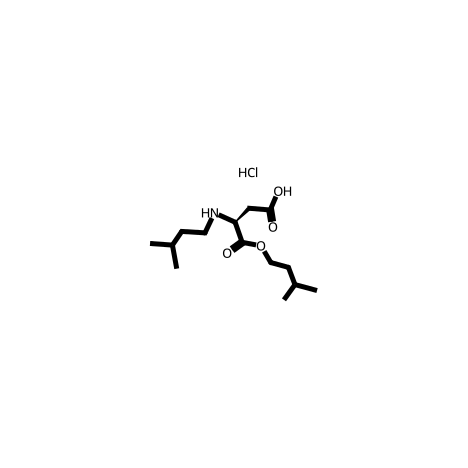 CC(C)CCN[C@@H](CC(=O)O)C(=O)OCCC(C)C.Cl